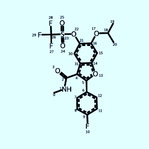 CNC(=O)c1c(-c2ccc(F)cc2)oc2cc(OC(C)C)c(OS(=O)(=O)C(F)(F)F)cc12